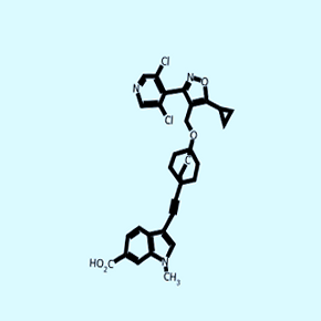 Cn1cc(C#CC23CCC(OCc4c(-c5c(Cl)cncc5Cl)noc4C4CC4)(CC2)CC3)c2ccc(C(=O)O)cc21